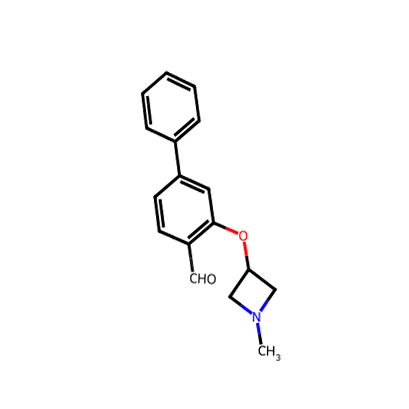 CN1CC(Oc2cc(-c3ccccc3)ccc2C=O)C1